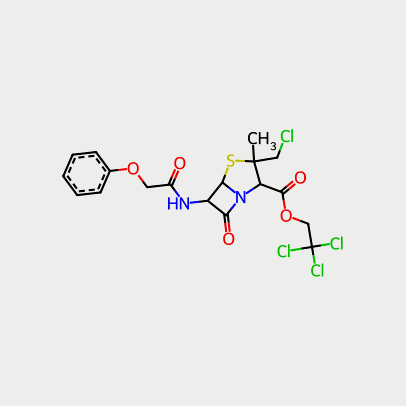 CC1(CCl)SC2C(NC(=O)COc3ccccc3)C(=O)N2C1C(=O)OCC(Cl)(Cl)Cl